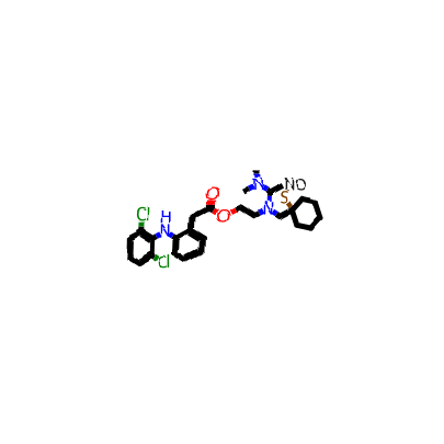 CC(N(C)C)N(CCOC(=O)Cc1ccccc1Nc1c(Cl)cccc1Cl)CC1(SN=O)CCCCC1